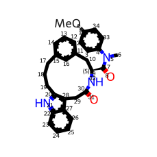 COc1ccc(N(C)C(=O)[C@@H]2Cc3cccc(c3)CCCc3[nH]c4ccccc4c3CC(=O)N2)cc1